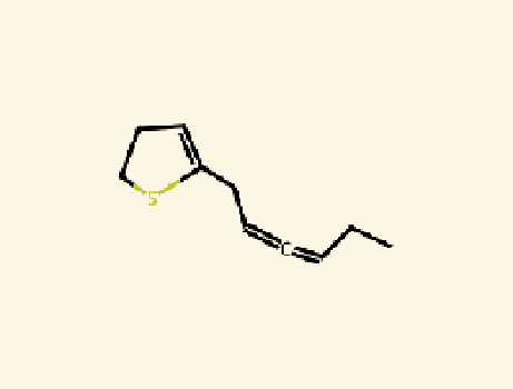 CCC=C=CCC1=CCCS1